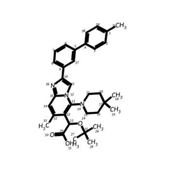 Cc1ccc(-c2cccc(-c3cn4c(N5CCC(C)(C)CC5)c(C(OC(C)(C)C)C(=O)O)c(C)cc4n3)c2)cc1